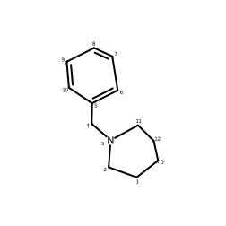 [CH]1C[CH]N(Cc2ccccc2)CC1